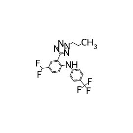 CCCn1nnc(-c2cc(C(F)F)ccc2Nc2ccc(C(F)(F)F)cc2)n1